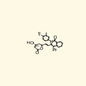 Cc1cc(-n2c(C=C[C@@H]3C[C@@H](O)CC(=O)O3)c(C(C)C)c3ccccc3c2=O)ccc1F